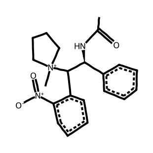 CC(=O)N[C@@H](c1ccccc1)C(c1ccccc1[N+](=O)[O-])[N+]1(C)CCCC1